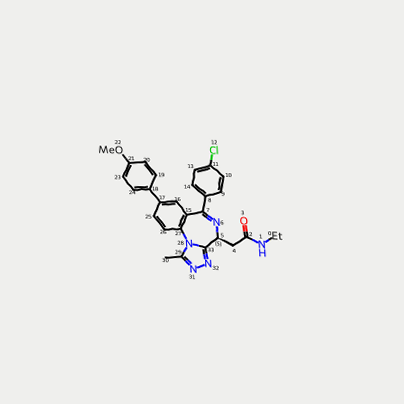 CCNC(=O)C[C@@H]1N=C(c2ccc(Cl)cc2)c2cc(-c3ccc(OC)cc3)ccc2-n2c(C)nnc21